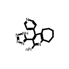 CCCc1nc2c(c(-c3ccncc3)c1-c1nnn[nH]1)CCCCC2